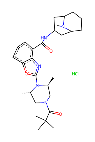 C[C@H]1CN(C(=O)C(C)(C)C)C[C@H](C)N1c1nc2c(C(=O)NC3CC4CCCC(C3)N4C)cccc2o1.Cl